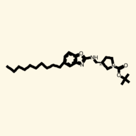 CCCCCCCCCCc1ccc2oc(NC[C@H]3CCN(C(=O)OC(C)(C)C)C3)nc2c1